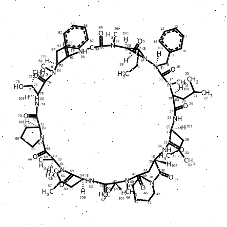 CC[C@H]1[C@H]2C(=O)N1[C@@H](Cc1ccccc1)C(=O)N(C)[C@@H](CC(C)C)C(=O)N[C@@H](CC(C)C)C(=O)N[C@H](C(=O)N1CCCCC1)CC(=O)N(C)[C@H](C)C(=O)N[C@@H](CC(C)C)C(=O)N(C)[C@@H](C)C(=O)N1CCC[C@H]1C(=O)N[C@@H]([C@@H](C)O)C(=O)N(C)[C@@H](Cc1ccccc1)C(=O)NCC(=O)N2C